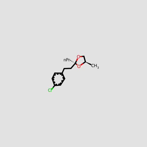 CCC[C@]1(CCc2ccc(Cl)cc2)OC[C@@H](C)O1